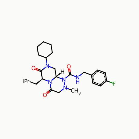 CC(C)C[C@H]1C(=O)N(C2CCCCC2)C[C@H]2N1C(=O)CN(C)N2C(=O)NCc1ccc(F)cc1